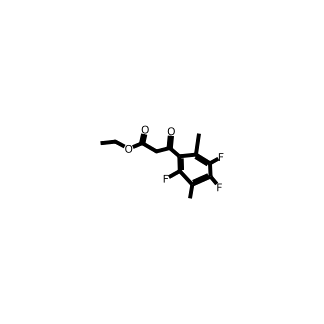 CCOC(=O)CC(=O)c1c(C)c(F)c(F)c(C)c1F